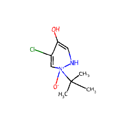 CC(C)(C)[N+]1([O-])C=C(Cl)C(O)=CN1